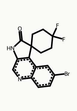 O=C1Nc2cnc3ccc(Br)cc3c2C12CCC(F)(F)CC2